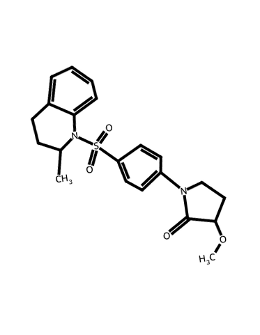 COC1CCN(c2ccc(S(=O)(=O)N3c4ccccc4CCC3C)cc2)C1=O